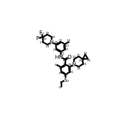 CCSc1cc(C)c(C(=O)Nc2cc(C)cc(N3CCC(F)(F)CC3)c2)c(N2CCC3(CC2)CC3)c1